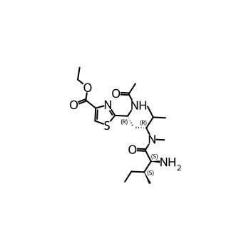 CCOC(=O)c1csc([C@@H](C[C@H](C(C)C)N(C)C(=O)[C@@H](N)[C@@H](C)CC)NC(C)=O)n1